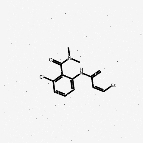 C=C(/C=C\CC)Nc1cccc(Cl)c1C(=O)N(C)C